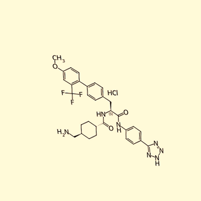 COc1ccc(-c2ccc(C[C@H](NC(=O)[C@H]3CC[C@H](CN)CC3)C(=O)Nc3ccc(-c4nn[nH]n4)cc3)cc2)c(C(F)(F)F)c1.Cl